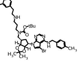 Cc1ccc(CNc2ncnc3c2c(Br)cn3[C@@H]2C[C@H](CN(CCCNCCc3cccc(F)c3)C(=O)OC(C)(C)C)[C@H]3OC(C)(C)O[C@H]32)cc1